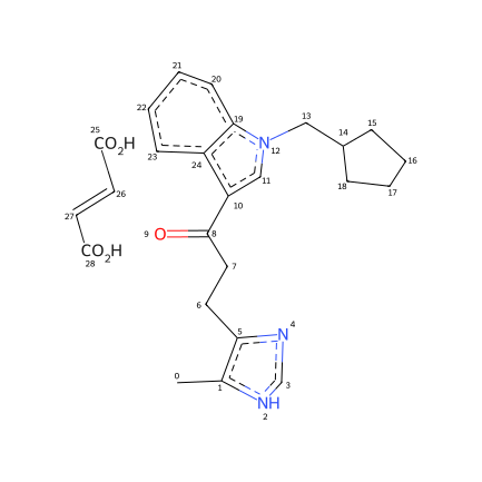 Cc1[nH]cnc1CCC(=O)c1cn(CC2CCCC2)c2ccccc12.O=C(O)C=CC(=O)O